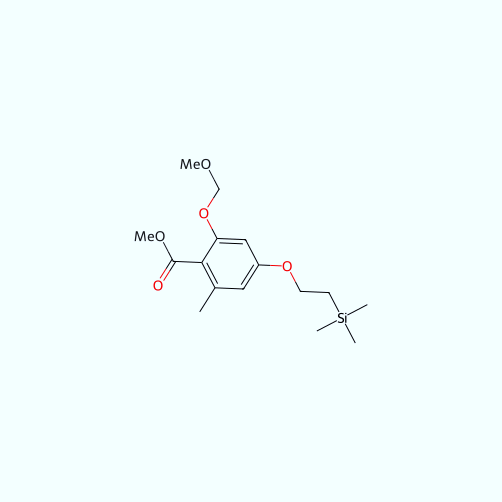 COCOc1cc(OCC[Si](C)(C)C)cc(C)c1C(=O)OC